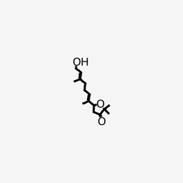 C/C(=C\CO)CC/C=C(\C)C1CC(=O)C(C)(C)O1